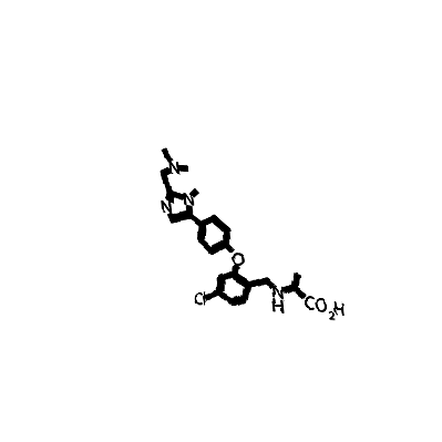 CC(NCc1ccc(Cl)cc1Oc1ccc(-c2cnc(CN(C)C)n2C)cc1)C(=O)O